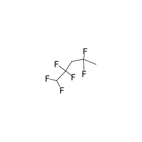 CC(F)(F)CC(F)(F)C(F)F